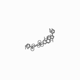 C[C@]12CC[C@H](OC(=O)OCCOC(=O)c3cccnc3)CC1=CC[C@@H]1[C@@H]2CC[C@]2(C)C(c3cccnc3)=CC[C@@H]12